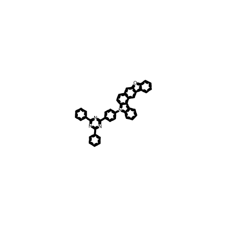 c1ccc(-c2nc(-c3ccccc3)nc(-c3ccc(-n4c5ccccc5c5c6cc7c(cc6ccc54)oc4ccccc47)cc3)n2)cc1